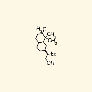 CC/C(CO)=C1/CCC2CCC(C)C(C)(C)C2C1